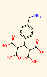 NCc1ccc(C(C(C(=O)O)C(=O)O)C(C(=O)O)C(=O)O)cc1